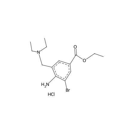 CCOC(=O)c1cc(Br)c(N)c(CN(CC)CC)c1.Cl